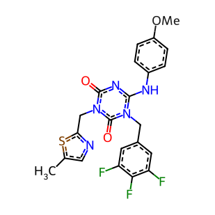 COc1ccc(Nc2nc(=O)n(Cc3ncc(C)s3)c(=O)n2Cc2cc(F)c(F)c(F)c2)cc1